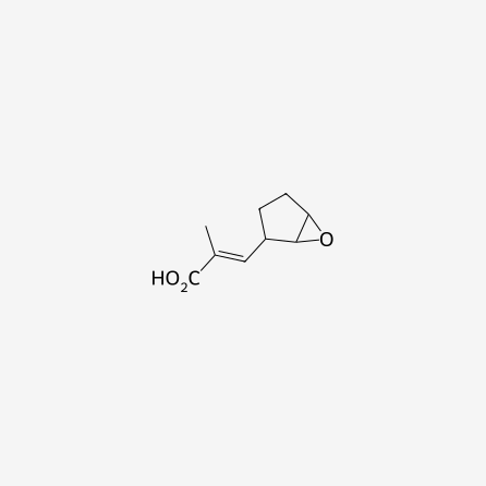 CC(=CC1CCC2OC12)C(=O)O